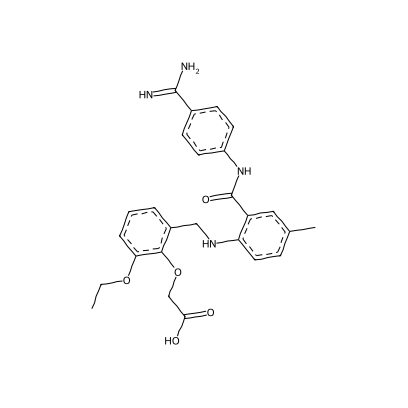 CCOc1cccc(CNc2ccc(C)cc2C(=O)Nc2ccc(C(=N)N)cc2)c1OCC(=O)O